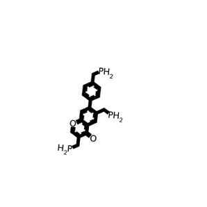 O=c1c(CP)coc2cc(-c3ccc(CP)cc3)c(CP)cc12